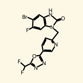 O=c1[nH]c2cc(Br)c(F)cc2n1Cc1ccc(-c2nnc(C(F)F)o2)cn1